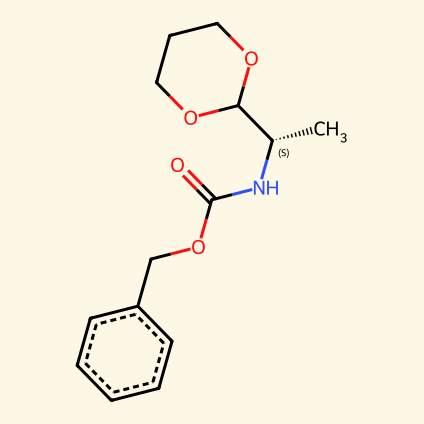 C[C@H](NC(=O)OCc1ccccc1)C1OCCCO1